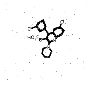 O=C(O)Oc1c(N2CCCCC2)nc2ccc(Cl)cc2c1-c1cccc(Cl)c1